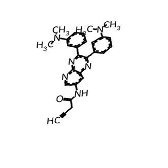 C#CCC(=O)Nc1cnc2nc(-c3cccc(N(C)C)c3)c(-c3cccc(N(C)C)c3)nc2c1